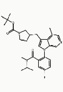 Cc1cncc2c1c(CC1CCN(C(=O)OC(C)(C)C)C1)cn2-c1ccc(F)cc1C(=O)N(C)C(C)C